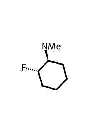 CN[C@H]1CCCC[C@@H]1F